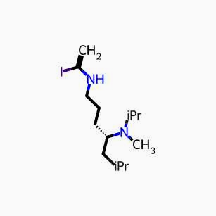 C=C(I)NCCC[C@@H](CC(C)C)N(C)C(C)C